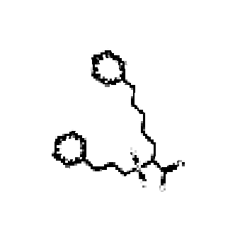 O=C(O)C(CCCCCc1ccccc1)S(=O)(=O)CCCc1ccccc1